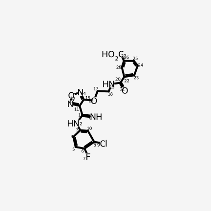 N=C(Nc1ccc(F)c(Cl)c1)c1nonc1OCCNC(=O)c1cccc(C(=O)O)c1